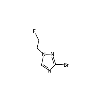 FCCn1cnc(Br)n1